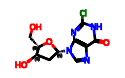 O=c1[nH]c(Cl)nc2c1ncn2[C@@H]1C[C@@H](O)[C@H](CO)O1